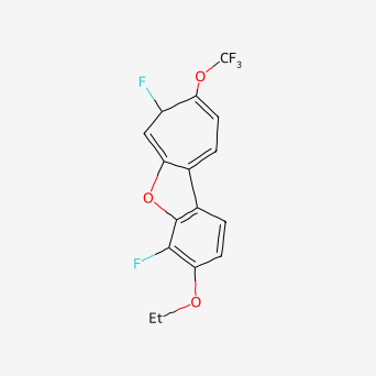 CCOc1ccc2c3c(oc2c1F)=CC(F)C(OC(F)(F)F)=CC=3